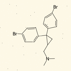 CN(C)CC1CC1(c1ccc(Br)cc1)c1ccc(Br)cc1